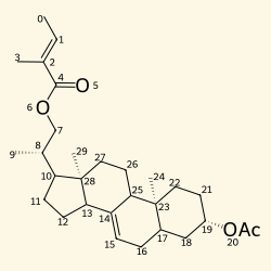 C/C=C(\C)C(=O)OC[C@@H](C)C1CCC2C3=CCC4C[C@@H](OC(C)=O)CC[C@]4(C)C3CC[C@@]21C